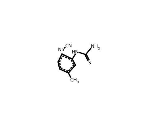 Cc1cccc(NC(N)=S)c1.N#[C][Na]